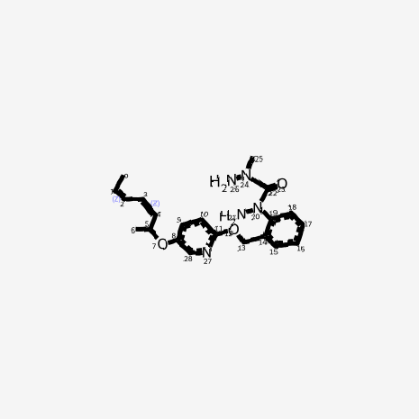 C/C=C\C=C/C(C)Oc1ccc(OCc2ccccc2N(N)C(=O)N(C)N)nc1